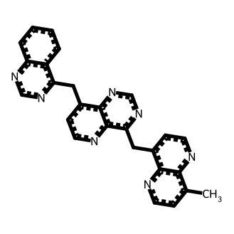 Cc1ccnc2c(Cc3ncnc4c(Cc5ncnc6ccccc56)ccnc34)ccnc12